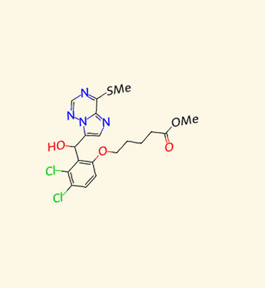 COC(=O)CCCCOc1ccc(Cl)c(Cl)c1C(O)c1cnc2c(SC)ncnn12